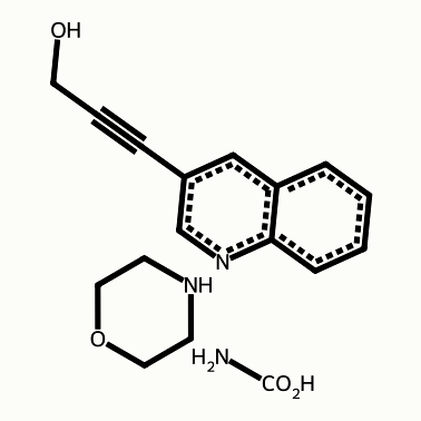 C1COCCN1.NC(=O)O.OCC#Cc1cnc2ccccc2c1